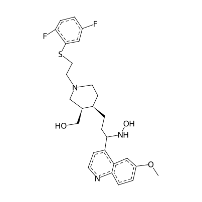 COc1ccc2nccc(C(CC[C@@H]3CCN(CCSc4cc(F)ccc4F)C[C@@H]3CO)NO)c2c1